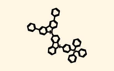 c1ccc(-c2ccc3c(c2)c2cc(-c4ccccc4)ccc2n3-c2ccc3c(c2)c2ccccc2n3-c2ccc(S(c3ccccc3)(c3ccccc3)c3ccccc3)cc2)cc1